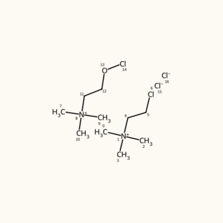 C[N+](C)(C)CCCl.C[N+](C)(C)CCOCl.[Cl-].[Cl-]